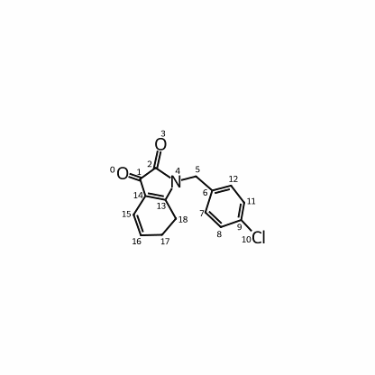 O=C1C(=O)N(Cc2ccc(Cl)cc2)C2=C1C=CCC2